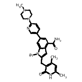 Cc1cc(C)c(Cc2cc3c(C(N)=O)cc(-c4ccc(N5CCN(C)CC5)nc4)cc3n2C(C)C)c(=O)[nH]1